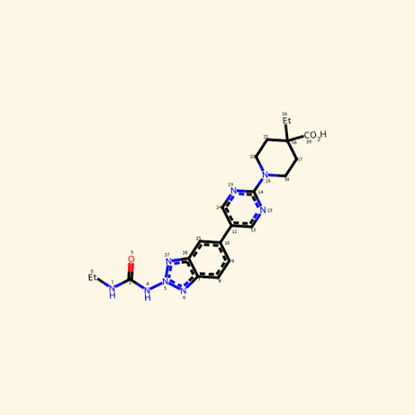 CCNC(=O)Nn1nc2ccc(-c3cnc(N4CCC(CC)(C(=O)O)CC4)nc3)cc2n1